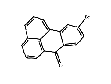 O=C1c2ccc(Br)cc2-c2cccc3cccc1c23